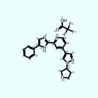 O=C(O)C(F)(F)F.c1ccc(-c2cnc(-c3cc(-c4cnn(C5CCOC5)c4)ccn3)[nH]2)cc1